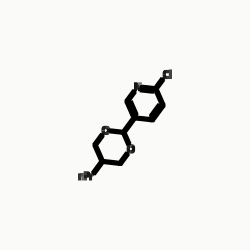 CCCC1COC(c2ccc(Cl)nc2)OC1